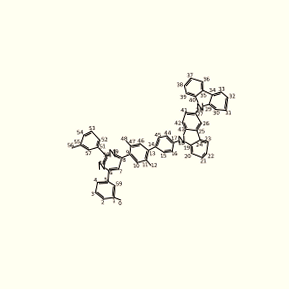 Cc1cccc(-c2cc(-c3cc(C)c(-c4ccc(-n5c6ccccc6c6cc(-n7c8ccccc8c8ccccc87)ccc65)cc4)cc3C)nc(-c3cccc(C)c3)n2)c1